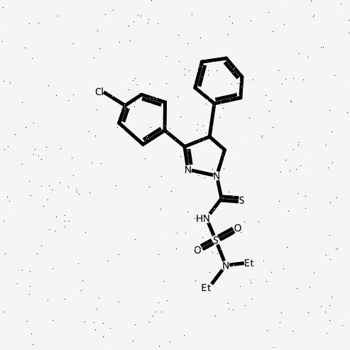 CCN(CC)S(=O)(=O)NC(=S)N1CC(c2ccccc2)C(c2ccc(Cl)cc2)=N1